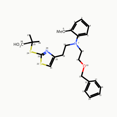 COc1ccccc1N(CCOCc1ccccc1)CCc1csc(SC(C)(C)C(=O)O)n1